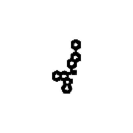 c1ccc(-c2ccc3cc(Nc4cc5ccccc5c5c4sc4ccccc45)ccc3c2)cc1